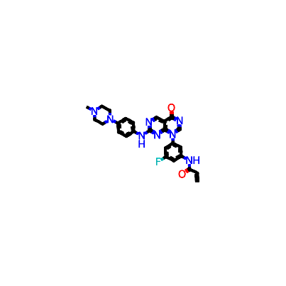 C=CC(=O)Nc1cc(F)cc(-n2cnc(=O)c3cnc(Nc4ccc(N5CCN(C)CC5)cc4)nc32)c1